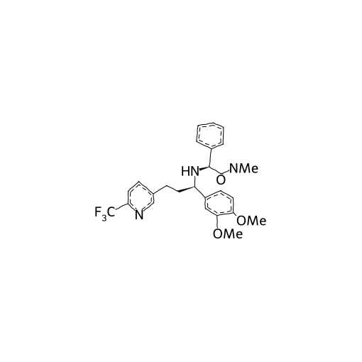 CNC(=O)[C@@H](N[C@H](CCc1ccc(C(F)(F)F)nc1)c1ccc(OC)c(OC)c1)c1ccccc1